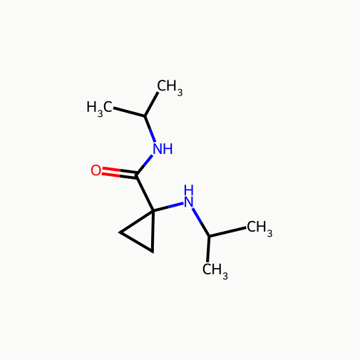 CC(C)NC(=O)C1(NC(C)C)CC1